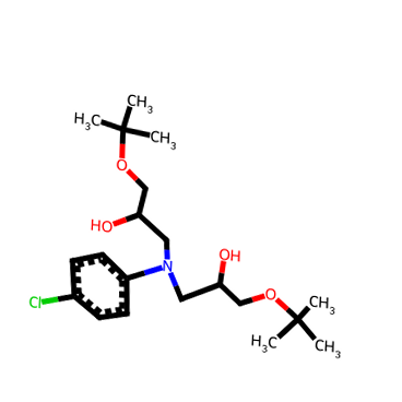 CC(C)(C)OCC(O)CN(CC(O)COC(C)(C)C)c1ccc(Cl)cc1